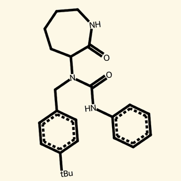 CC(C)(C)c1ccc(CN(C(=O)Nc2ccccc2)C2CCCCNC2=O)cc1